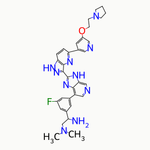 CN(C)CC(N)c1cc(F)cc(-c2cncc3[nH]c(-c4n[nH]c5ccc(-c6cncc(OCCN7CCCC7)c6)nc45)nc23)c1